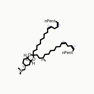 CCCCC/C=C\C/C=C\CCCCCCCCC1(CC[C@H](C)CCCCCC/C=C\C/C=C\CCCCC)O[C@H]2CC[C@H](CN(C)C)C[C@H]2O1